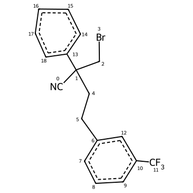 N#CC(CBr)(CCc1cccc(C(F)(F)F)c1)c1ccccc1